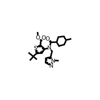 COC(=O)c1sc(C(C)(C)C)cc1N(Cc1ccnn1C)C(=O)C1CCC(C)CC1